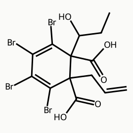 C=CCC1(C(=O)O)C(Br)=C(Br)C(Br)=C(Br)C1(C(=O)O)C(O)CC